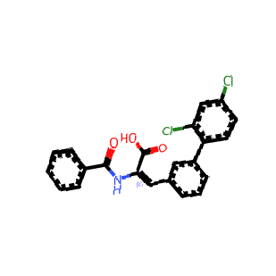 O=C(O)/C(=C\c1cccc(-c2ccc(Cl)cc2Cl)c1)NC(=O)c1ccccc1